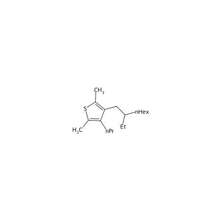 CCCCCCC(CC)Cc1c(C)sc(C)c1CCC